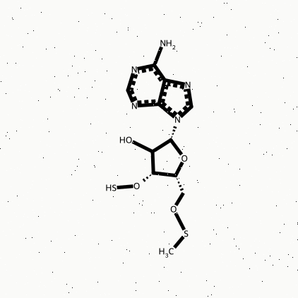 CSOC[C@H]1O[C@@H](n2cnc3c(N)ncnc32)C(O)[C@H]1OS